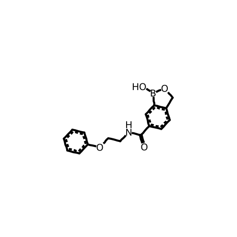 O=C(NCCOc1ccccc1)c1ccc2c(c1)B(O)OC2